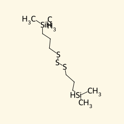 C[SiH](C)CCCSSSCCC[SiH](C)C